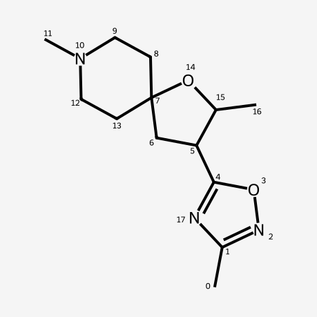 Cc1noc(C2CC3(CCN(C)CC3)OC2C)n1